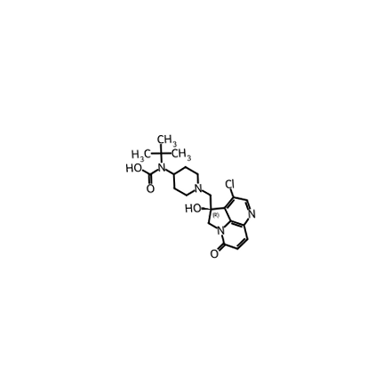 CC(C)(C)N(C(=O)O)C1CCN(C[C@@]2(O)Cn3c(=O)ccc4ncc(Cl)c2c43)CC1